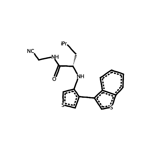 CC(C)C[C@H](Nc1cscc1-c1csc2ccccc12)C(=O)NCC#N